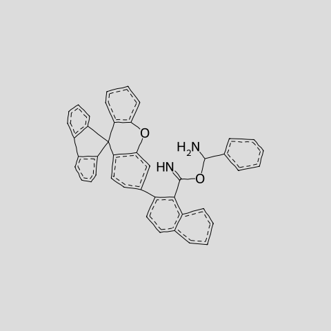 N=C(OC(N)c1ccccc1)c1c(-c2ccc3c(c2)Oc2ccccc2C32c3ccccc3-c3ccccc32)ccc2ccccc12